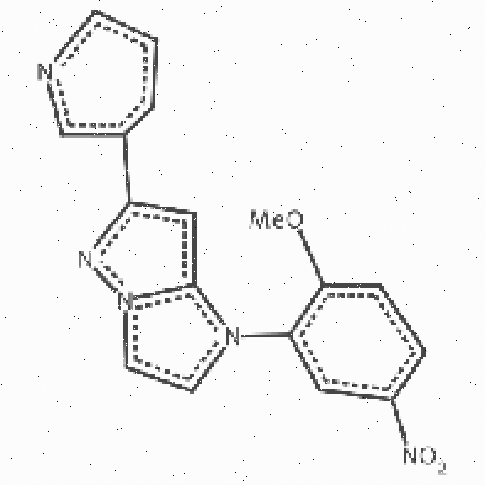 COc1ccc([N+](=O)[O-])cc1-n1ccn2nc(-c3cccnc3)cc12